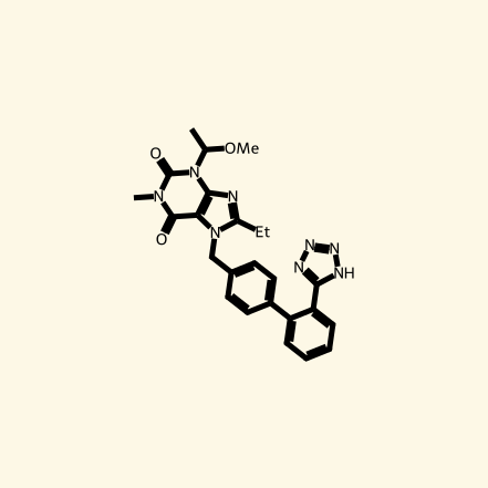 CCc1nc2c(c(=O)n(C)c(=O)n2C(C)OC)n1Cc1ccc(-c2ccccc2-c2nnn[nH]2)cc1